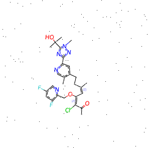 CC(=O)/C(Cl)=C(\C=C(\C)CCc1cc(-c2nc(C(C)(C)O)n(C)n2)ncc1C)OCc1ncc(F)cc1F